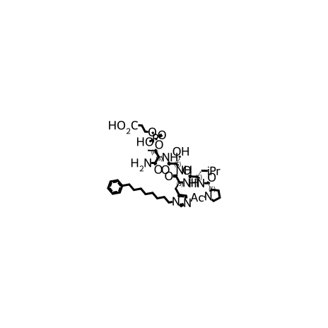 CC(=O)N1CCC[C@H]1C(=O)N[C@@H](CC(C)C)C(=O)N[C@@H](Cc1cncn1CCCCCCCCc1ccccc1)C(=O)N[C@@H](CO)C(=O)N[C@H](C(N)=O)[C@@H](C)OP(=O)(O)OCCC(=O)O